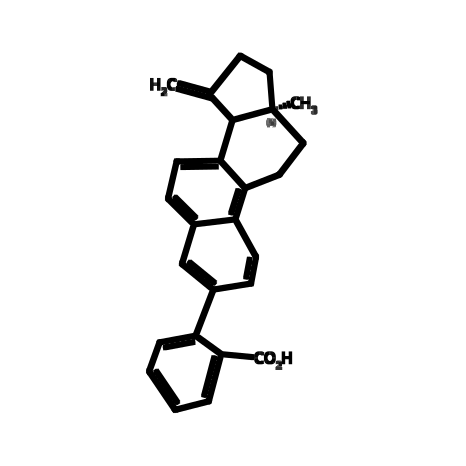 C=C1CC[C@@]2(C)CCc3c(ccc4cc(-c5ccccc5C(=O)O)ccc34)C12